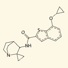 O=C(NC1C2CCN(CC2)C12CC2)c1cc2cccc(OC3CC3)c2s1